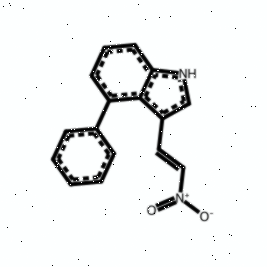 O=[N+]([O-])C=Cc1c[nH]c2cccc(-c3ccccc3)c12